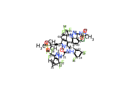 CC(C)(C#Cc1nc([C@H](Cc2cc(F)cc(F)c2)NC(=O)Cn2nc(C(F)(F)F)c3c2C(F)(F)C2C[C@H]32)c(-c2ccc(Cl)c3c(NS(C)(=O)=O)nn(CC(F)(F)F)c23)c2c1C[C@@H](F)C2)S(C)(=O)=O